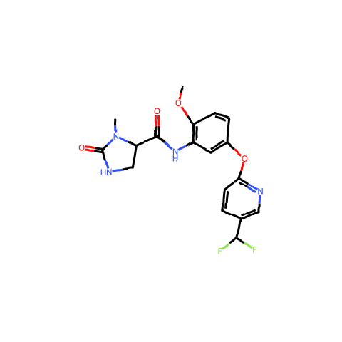 COc1ccc(Oc2ccc(C(F)F)cn2)cc1NC(=O)C1CNC(=O)N1C